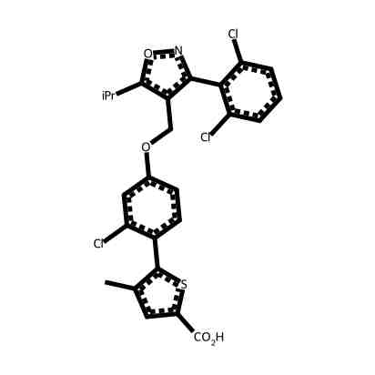 Cc1cc(C(=O)O)sc1-c1ccc(OCc2c(-c3c(Cl)cccc3Cl)noc2C(C)C)cc1Cl